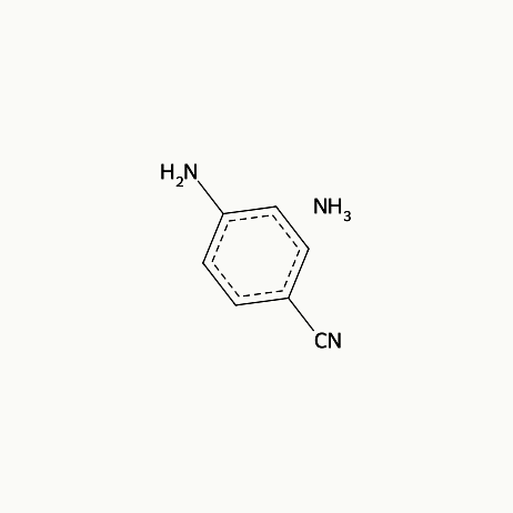 N.N#Cc1ccc(N)cc1